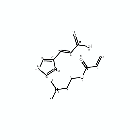 C=CC(=O)OCCN(C)C.O=C(O)C=Cc1c[nH]cn1